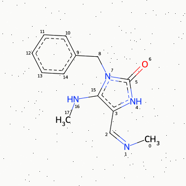 C/N=C\c1[nH]c(=O)n(Cc2ccccc2)c1NC